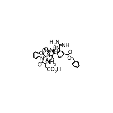 COC(=O)[C@@](C(C)=O)(N1C(=O)NC(c2ccc(C(=O)OCc3ccccc3)cc2NC(=N)N)C1=O)N(C(=O)[C@@H](N)CC(=O)O)c1ccccc1